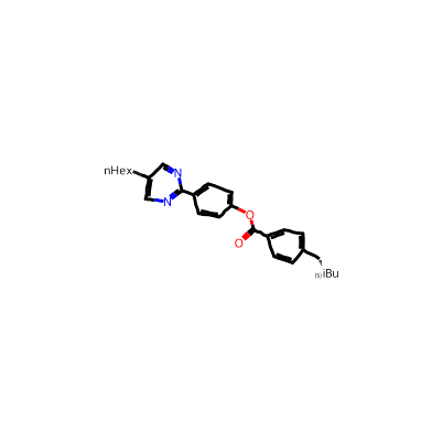 CCCCCCc1cnc(-c2ccc(OC(=O)c3ccc(C[C@@H](C)CC)cc3)cc2)nc1